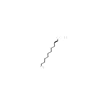 O=C(O)C=CCCCCCCCCO